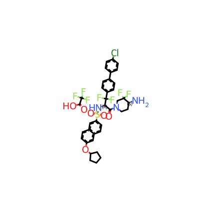 N[C@H]1CCN(C(=O)[C@@H](NS(=O)(=O)c2ccc3cc(OC4CCCC4)ccc3c2)C(F)(F)c2ccc(-c3ccc(Cl)cc3)cc2)CC1(F)F.O=C(O)C(F)(F)F